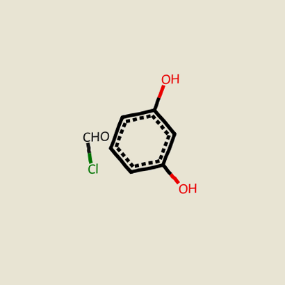 O=CCl.Oc1cccc(O)c1